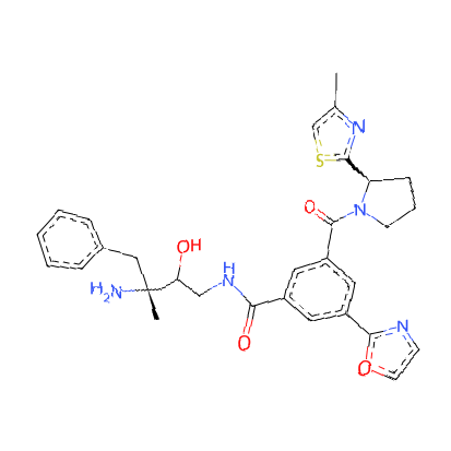 Cc1csc([C@H]2CCCN2C(=O)c2cc(C(=O)NCC(O)[C@](C)(N)Cc3ccccc3)cc(-c3ncco3)c2)n1